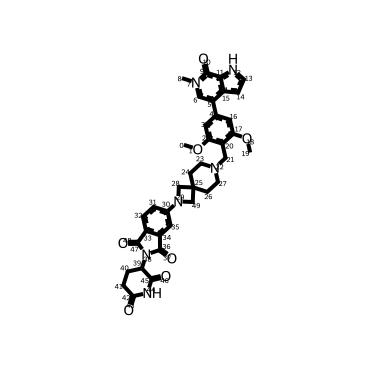 COc1cc(-c2cn(C)c(=O)c3[nH]ccc23)cc(OC)c1CN1CCC2(CC1)CN(c1ccc3c(c1)C(=O)N(C1CCC(=O)NC1=O)C3=O)C2